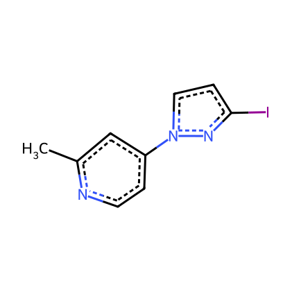 Cc1cc(-n2ccc(I)n2)ccn1